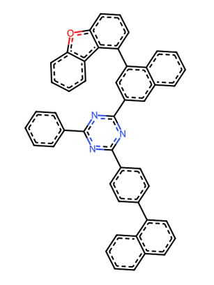 c1ccc(-c2nc(-c3ccc(-c4cccc5ccccc45)cc3)nc(-c3cc(-c4cccc5oc6ccccc6c45)c4ccccc4c3)n2)cc1